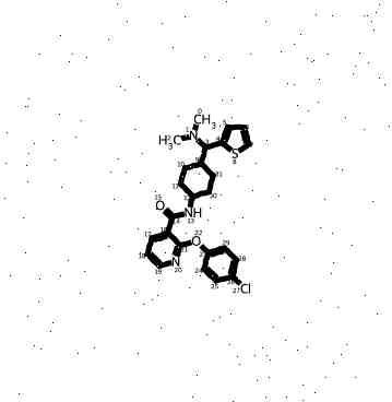 CN(C)C(c1cccs1)C1CCC(NC(=O)c2cccnc2Oc2ccc(Cl)cc2)CC1